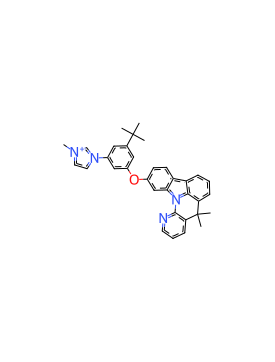 C[n+]1ccn(-c2cc(Oc3ccc4c5cccc6c5n(c4c3)-c3ncccc3C6(C)C)cc(C(C)(C)C)c2)c1